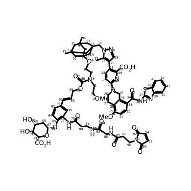 COCCN(CCOC12CC3(C)CC(C)(CC(Cn4ncc(-c5ccc(N6CCc7c(OC)ccc(C(=O)Nc8nc9ccccc9s8)c7C6)nc5C(=O)O)c4C)(C3)C1)C2)C(=O)OC/C=C/c1ccc(O[C@H]2C[C@@H](O)[C@H](O)[C@@H](C(=O)O)O2)c(NC(=O)CCNC(=O)CNC(=O)CCN2C(=O)C=CC2=O)c1